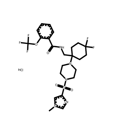 Cl.Cn1cnc(S(=O)(=O)N2CCN(C3(CNC(=O)c4ccccc4OC(F)(F)F)CCC(F)(F)CC3)CC2)c1